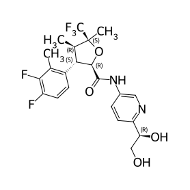 Cc1c([C@@H]2[C@@H](C)[C@@](C)(C(F)(F)F)O[C@H]2C(=O)Nc2ccc([C@@H](O)CO)nc2)ccc(F)c1F